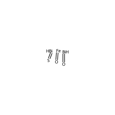 [O]=[BiH].[O]=[Fe].[S]=[BiH]